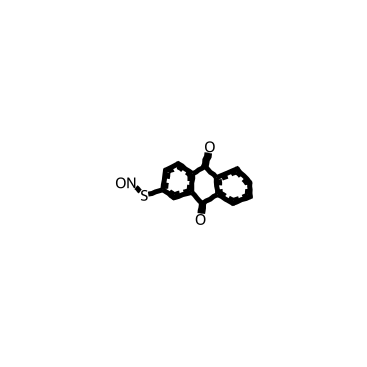 O=NSc1ccc2c(c1)C(=O)c1ccccc1C2=O